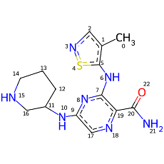 Cc1cnsc1Nc1nc(NC2CCCNC2)cnc1C(N)=O